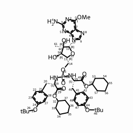 COc1nc(N)nc2c1ncn2[C@@H]1O[C@H](COP(=O)(N[C@@H](Cc2ccc(OC(C)(C)C)cc2)C(=O)OC2CCCCC2)N[C@@H](Cc2ccc(OC(C)(C)C)cc2)C(=O)OC2CCCCC2)[C@@H](O)[C@@]1(C)O